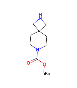 CCCCOC(=O)N1CCC2(CC1)CNC2